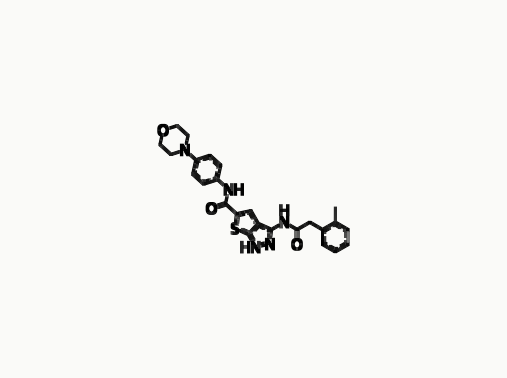 Cc1ccccc1CC(=O)Nc1n[nH]c2sc(C(=O)Nc3ccc(N4CCOCC4)cc3)cc12